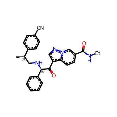 CCNC(=O)c1ccc2c(C(=O)[C@H](NC[C@@H](C)c3ccc(C#N)cc3)c3ccccc3)cnn2c1